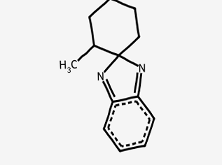 CC1CCCCC12N=c1ccccc1=N2